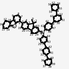 CC1(C)c2cc(-c3cccc4c3oc3ccccc34)ccc2-c2ccc(N(c3ccc(-c4ccc(-c5ccccc5)cc4)cc3)c3ccc(-c4cccc(-c5ccccc5)c4)cc3)cc21